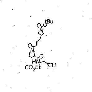 C#CC[C@H](NC(=O)[C@@H]1CCCN(C(=O)/C=C/CC2CN(C(=O)OC(C)(C)C)C2)C1)C(=O)OCC